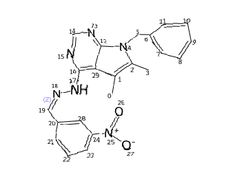 Cc1c(C)n(Cc2ccccc2)c2ncnc(N/N=C\c3cccc([N+](=O)[O-])c3)c12